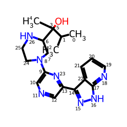 CC(C)C(C)(O)C1CN(c2cncc(-c3n[nH]c4ncccc34)n2)CCN1